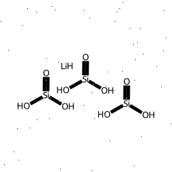 O=[Si](O)O.O=[Si](O)O.O=[Si](O)O.[LiH]